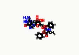 C[C@H](NP(=S)(OC[C@H]1O[C@@H](n2cnc3c(=O)[nH]c(N)nc32)[C@](C)(O)[C@@H]1O)Oc1ccccc1)C(=O)OC1CCCCC1